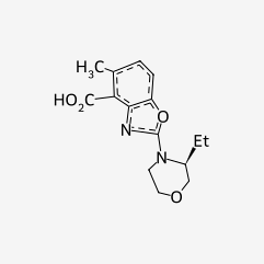 CC[C@H]1COCCN1c1nc2c(C(=O)O)c(C)ccc2o1